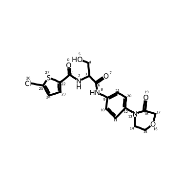 O=C(NC(CO)C(=O)Nc1ccc(N2CCOCC2=O)cc1)c1ccc(Cl)s1